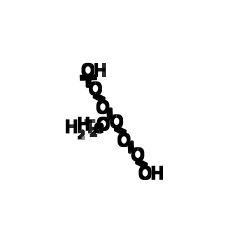 CC(C)(O)COCCOCCOCCOCCOCCO.O.[TeH2]